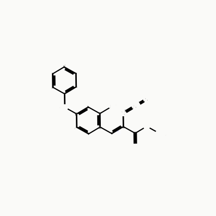 COC(=O)/C(=C/c1ccc(Oc2ccccc2)cc1F)N=[N+]=[N-]